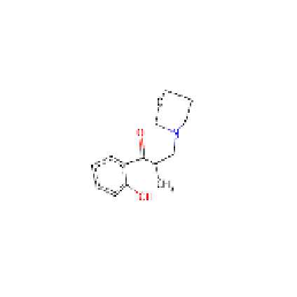 CC(CN1CCCCC1)C(=O)c1ccccc1O